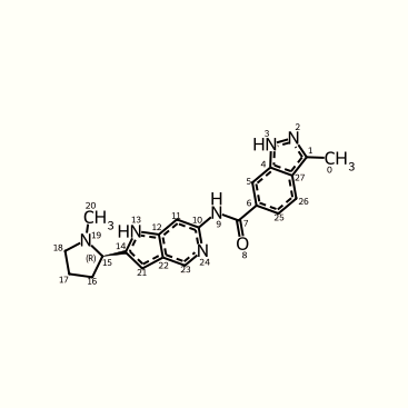 Cc1n[nH]c2cc(C(=O)Nc3cc4[nH]c([C@H]5CCCN5C)cc4cn3)ccc12